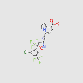 COC(=O)c1ccc(/C=C/C2=NOC(c3cc(Cl)cc(C(F)(F)F)c3)(C(F)(F)F)C2)n2cccc12